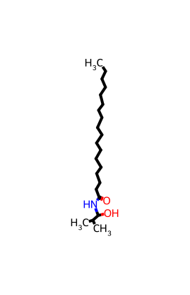 CCCCCCCCCCCCCCCCCC(=O)NC(O)C(C)C